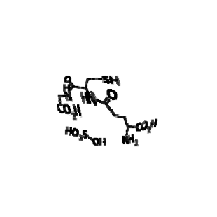 NC(CCC(=O)NC(CS)C(=O)NCC(=O)O)C(=O)O.O=S(=O)(O)O